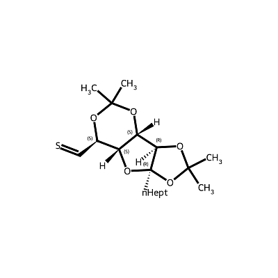 CCCCCCC[C@]12O[C@H]3[C@H](OC(C)(C)O[C@@H]3C=S)[C@H]1OC(C)(C)O2